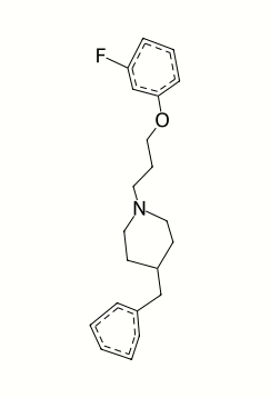 Fc1cccc(OCCCN2CCC(Cc3ccccc3)CC2)c1